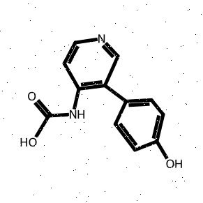 O=C(O)Nc1ccncc1-c1ccc(O)cc1